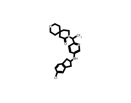 O=C1CC2(CCOCC2)CCN1C(c1ccc(NC2Cc3ccc(Cl)cc3C2)cn1)C(F)(F)F